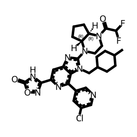 CC1CCC(Cn2c(N3CCN(C(=O)C(F)F)[C@@H]4CCC[C@H]43)nc3cc(-c4noc(=O)[nH]4)nc(-c4cncc(Cl)c4)c32)CC1